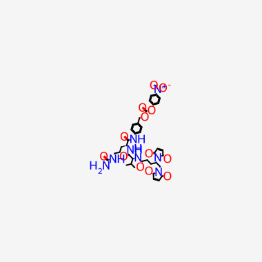 CC(C)[C@H](NC(=O)CCC(CN1C(=O)C=CC1=O)N1C(=O)C=CC1=O)C(=O)N[C@@H](CCCNC(N)=O)C(=O)Nc1ccc(COC(=O)Oc2ccc([N+](=O)[O-])cc2)cc1